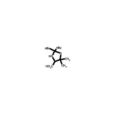 CCCCC1(CCCC)NC(C(=O)O)C(C)(C)S1